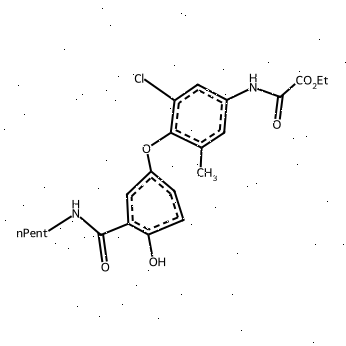 CCCCCNC(=O)c1cc(Oc2c(C)cc(NC(=O)C(=O)OCC)cc2Cl)ccc1O